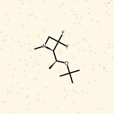 C[C@H](OC(C)(C)C)[C@H]1N(C)CC1(F)F